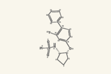 CC(C)S(=O)(=O)N[C@H]1CCC[C@H]1Oc1ccc(-c2ccccc2)c(F)c1